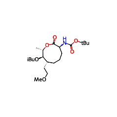 COCC[C@H]1CCC[C@H](NC(=O)OC(C)(C)C)C(=O)O[C@@H](C)[C@@H]1OCC(C)C